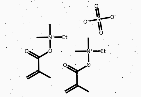 C=C(C)C(=O)O[N+](C)(C)CC.C=C(C)C(=O)O[N+](C)(C)CC.O=S(=O)([O-])[O-]